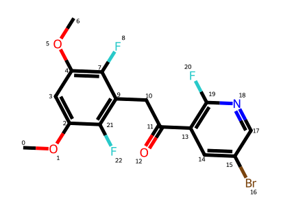 COc1cc(OC)c(F)c(CC(=O)c2cc(Br)cnc2F)c1F